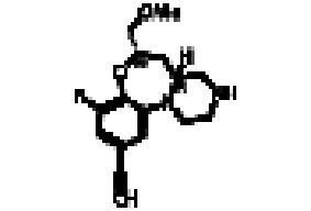 C#Cc1cc(F)c2c(c1)N1CCNC[C@H]1C[C@@H](COC)O2